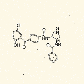 O=C(NC1CNC[C@H]1NC(=O)c1ccncc1)c1ccc(C(=O)c2cc(Cl)ccc2O)cc1